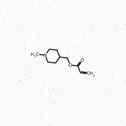 C=CC(=O)OCC1CCN(C)CC1